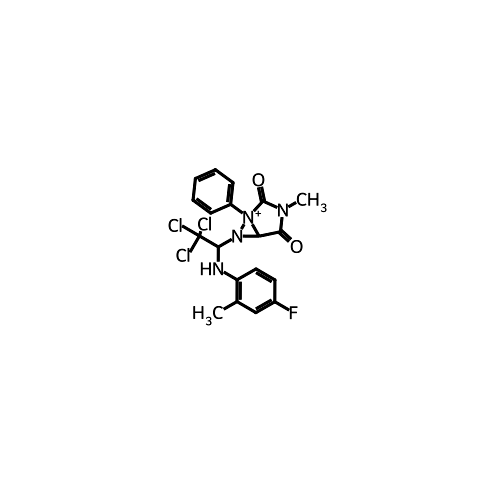 Cc1cc(F)ccc1NC(N1C2C(=O)N(C)C(=O)[N+]21c1ccccc1)C(Cl)(Cl)Cl